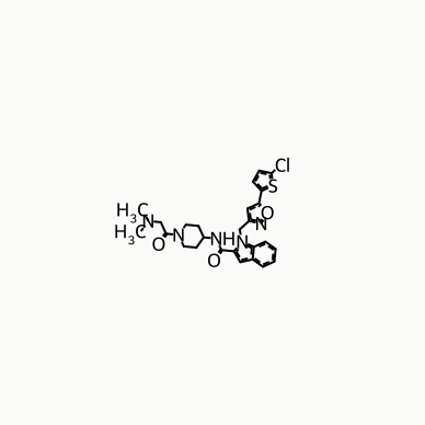 CN(C)CC(=O)N1CCC(NC(=O)c2cc3ccccc3n2Cc2cc(-c3ccc(Cl)s3)on2)CC1